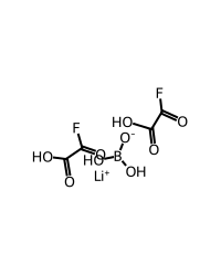 O=C(O)C(=O)F.O=C(O)C(=O)F.[Li+].[O-]B(O)O